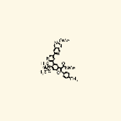 CNC(=O)c1c(-c2ccc(C)cc2)oc2cc(N(C)S(C)(=O)=O)c(-c3cncc(-c4cc5cnc(OC)nc5cn4)c3)cc12